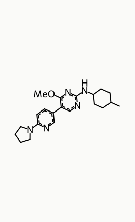 COc1nc(NC2CCC(C)CC2)ncc1-c1ccc(N2CCCC2)nc1